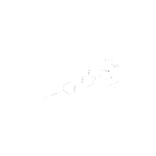 CC(CCn1ccc(-c2ccc(C#CCO)cc2)cc1=O)(C(=O)NO)S(C)(=O)=O